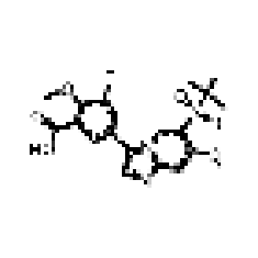 COc1cc2ncc(-c3cc(F)c(OC)c(C(=O)O)c3)n2cc1S(=O)(=O)C(C)(C)C